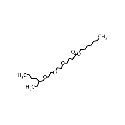 CCCCCCCOC(=O)CCCOCCOCCOCC(CC)CCCC